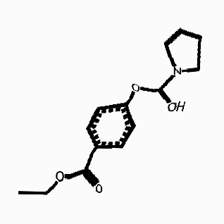 CCOC(=O)c1ccc(OC(O)N2CCCC2)cc1